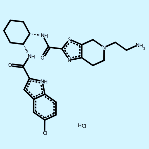 Cl.NCCN1CCc2nc(C(=O)N[C@H]3CCCC[C@H]3NC(=O)c3cc4cc(Cl)ccc4[nH]3)sc2C1